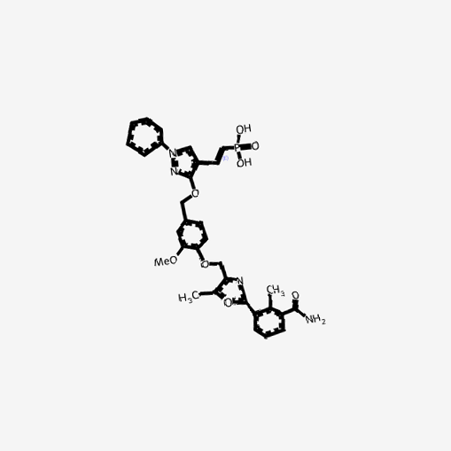 COc1cc(COc2nn(-c3ccccc3)cc2/C=C/P(=O)(O)O)ccc1OCc1nc(-c2cccc(C(N)=O)c2C)oc1C